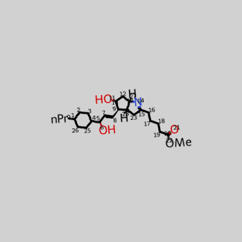 CCCC1CCC([C@H](O)C=C[C@H]2C(O)C[C@@H]3N=C(CCCCC(=O)OC)C[C@@H]32)CC1